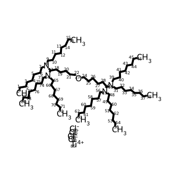 CCCCCCCCN(CCCCCCCC)C(CCCCCOCCCCCC(N(CCCCCCCC)CCCCCCCC)N(CCCCCCCC)CCCCCCCC)N(CCCCCCCC)CCCCCCCC.[Cl-].[Cl-].[Cl-].[Cl-].[Ti+4]